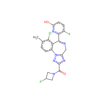 Cc1ccc2c(c1Cl)C(c1nc(O)ccc1F)=NCc1nc(C(=O)N3CC(F)C3)nn1-2